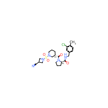 Cc1ccc(CNC(=O)[C@H]2CCCN2C(=O)[C@H]2CCCN(S(=O)(=O)N3CC(C#N)C3)C2)cc1Cl